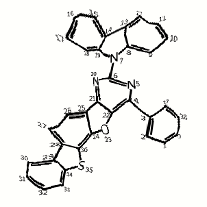 c1ccc(-c2nc(-n3c4ccccc4c4ccccc43)nc3c2oc2c3ccc3c4ccccc4sc32)cc1